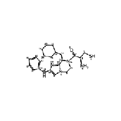 N[C@H](CS)C(=O)N1CCn2cc(Bc3ccccc3)nc2[C@H]1CC1CCCCC1